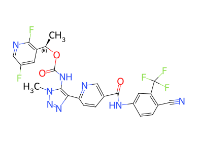 C[C@@H](OC(=O)Nc1c(-c2ccc(C(=O)Nc3ccc(C#N)c(C(F)(F)F)c3)cn2)nnn1C)c1cc(F)cnc1F